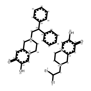 CCC(CC)CN1CCn2cc(O)c(=O)cc2C1.O=c1cc2n(cc1O)CCN(CC(c1ccccc1)c1ccccc1)C2